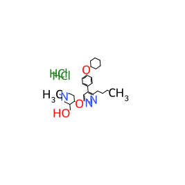 CCCCc1nnc(OC2CCN(C)CC2CO)cc1-c1ccc(OC2CCCCC2)cc1.Cl.Cl